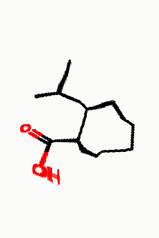 CC(C)C1CCCCC1C(=O)O